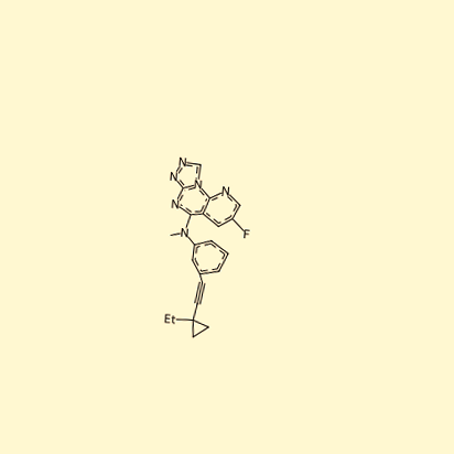 CCC1(C#Cc2cccc(N(C)c3nc4nncn4c4ncc(F)cc34)c2)CC1